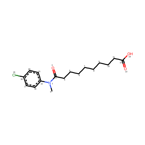 CN(C(=O)CCCCCCCCC(=O)O)c1ccc(Cl)cc1